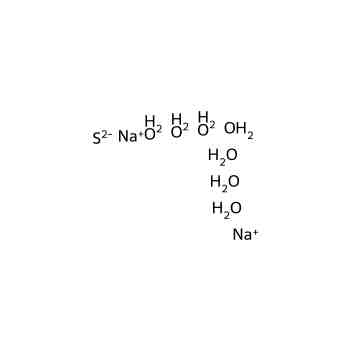 O.O.O.O.O.O.O.[Na+].[Na+].[S-2]